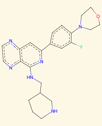 Fc1cc(-c2cc3nccnc3c(NCC3CCCNC3)n2)ccc1N1CCOCC1